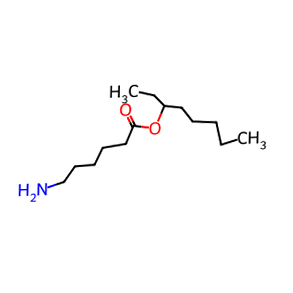 CCCCCC(CC)OC(=O)CCCCCN